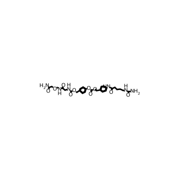 NC(=O)COCNC(=O)CNC(=O)OCc1ccc(OC(=O)OCc2ccc(NC(=O)CCCCNC(N)=O)cc2)cc1